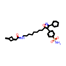 C=C1CC(=CC(=O)NCCCCCCCCc2onc(-c3ccccc3)c2-c2ccc(S(N)(=O)=O)cc2)C1